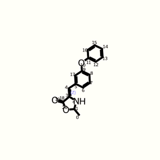 CC1N/C(=C\c2cccc(Oc3ccccc3)c2)C(=O)O1